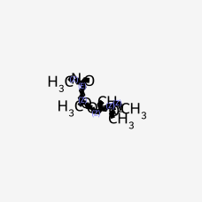 C=CC(/C=C\OCO/C(C)=C\CC/C=C(/C=O)C/N=C\C)C/C=C(/C=C\CC)OCC